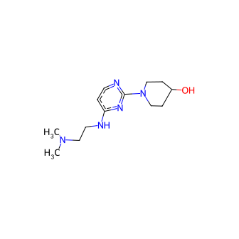 CN(C)CCNc1ccnc(N2CCC(O)CC2)n1